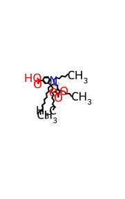 CCCCCCCCCCC1(CCCCCCCC)/C(=C\c2c(OCCCC)c(=O)c2=O)N(CCCCCC)c2ccc(C(=O)O)cc21